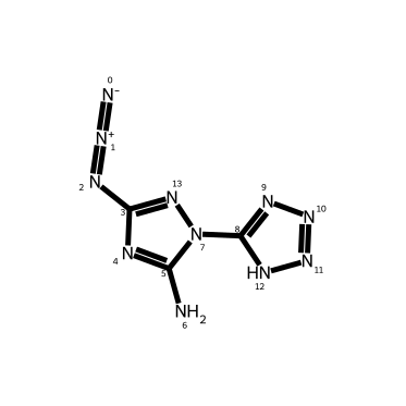 [N-]=[N+]=Nc1nc(N)n(-c2nnn[nH]2)n1